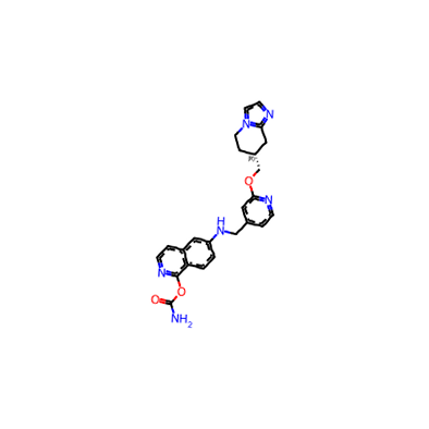 NC(=O)Oc1nccc2cc(NCc3ccnc(OC[C@@H]4CCn5ccnc5C4)c3)ccc12